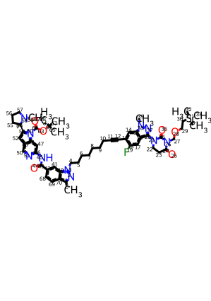 Cc1nn(CCCCCCCC#Cc2cc3c(cc2F)c(N2CCC(=O)N(COCC[Si](C)(C)C)C2=O)nn3C)c2cc(C(=O)Nc3cc4c(cn3)cc([C@H]3CCCN3C)n4C(=O)OC(C)(C)C)ccc12